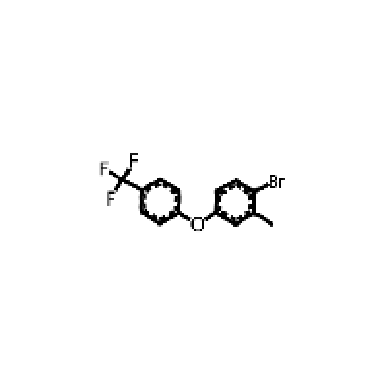 Cc1cc(Oc2ccc(C(F)(F)F)cc2)ccc1Br